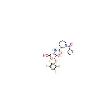 O=C(O)C[C@H](NC(=O)C1CCCCN(C(=O)C2CCCC2)C1)C(=O)COc1c(F)c(F)cc(F)c1F